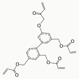 C=CC(=O)COc1cc(COC(=O)C=C)cc(-c2ccc(COC(=O)C=C)cc2COC(=O)C=C)c1